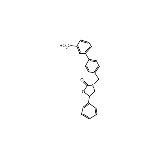 O=C(O)c1cccc(-c2ccc(CN3CC(c4ccccc4)OC3=O)cc2)c1